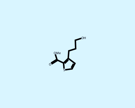 COC(=O)c1sccc1CCCO